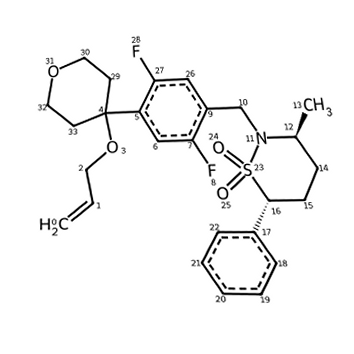 C=CCOC1(c2cc(F)c(CN3[C@@H](C)CC[C@H](c4ccccc4)S3(=O)=O)cc2F)CCOCC1